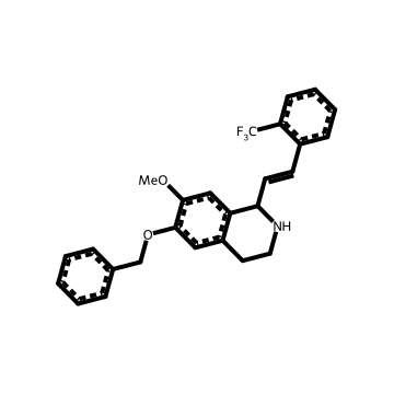 COc1cc2c(cc1OCc1ccccc1)CCNC2/C=C/c1ccccc1C(F)(F)F